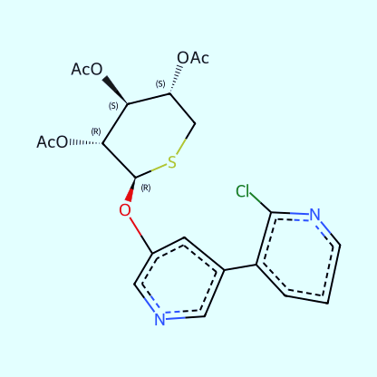 CC(=O)O[C@@H]1[C@@H](OC(C)=O)[C@H](OC(C)=O)CS[C@H]1Oc1cncc(-c2cccnc2Cl)c1